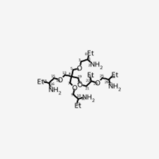 CCC(N)COCC(COCC(N)CC)(COCC(N)CC)COCC(CC)OCC(N)CC